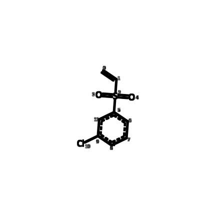 C=CS(=O)(=O)c1cc[c]c(Cl)c1